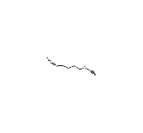 N#CSCCCCN=C=S